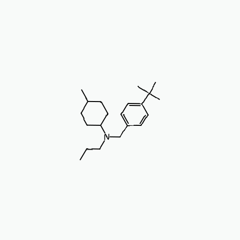 CCCN(Cc1ccc(C(C)(C)C)cc1)C1CCC(C)CC1